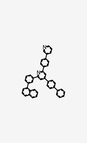 c1ccc(-c2ccc(-c3cc(-c4ccc(-c5cccnc5)cc4)nc(-c4cccc(-c5cccc6ccccc56)c4)c3)cc2)cc1